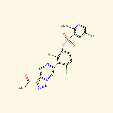 CNC(=O)c1ncn2cc(-c3c(F)ccc(NS(=O)(=O)c4cc(Cl)cnc4OC)c3Cl)ncc12